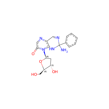 NC1(c2ccccc2)N=Cc2ncc(=O)n([C@H]3C[C@H](O)[C@@H](CO)O3)c2N1